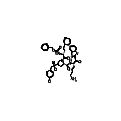 NCCCC[C@H](NC(=O)[C@@H]1C[C@@H](S(=O)(=O)Cc2ccc(Cl)cc2)CN1C(=O)[C@@H](CCc1ccccc1)NC(=O)OCc1ccccc1)C(=O)c1nc2ccccc2o1